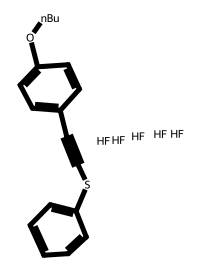 CCCCOc1ccc(C#CSc2ccccc2)cc1.F.F.F.F.F